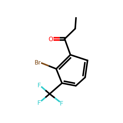 CCC(=O)c1cccc(C(F)(F)F)c1Br